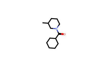 CC1CCCN(C(=O)C2CCCCC2)C1